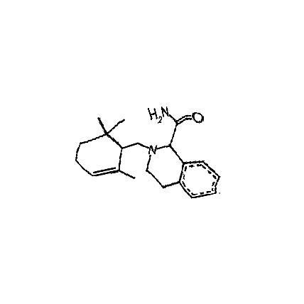 CC1=CCCC(C)(C)C1CN1CCc2c[c]ccc2C1C(N)=O